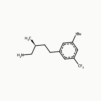 C[C@H](CN)CCc1cc(C(C)(C)C)cc(C(F)(F)F)c1